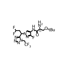 CC(C)(C)OC[C@H](N)C(=O)Nc1cn(C(CC(F)F)c2nnnn2CC(F)(F)F)nc1F